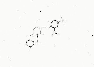 Cc1cc([N+](=O)[O-])cc([N+](=O)[O-])c1OCN1C[C@@H](C)N(Cc2ccc(F)cc2)C(=C=O)[C@@H]1C